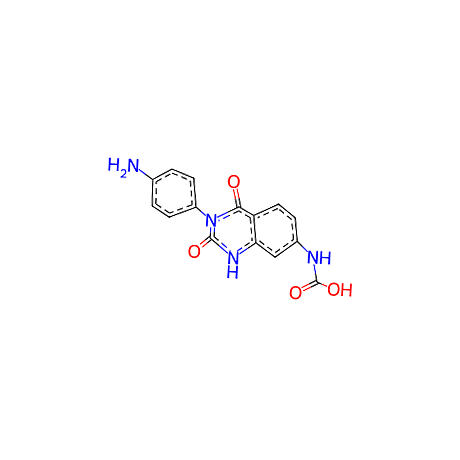 Nc1ccc(-n2c(=O)[nH]c3cc(NC(=O)O)ccc3c2=O)cc1